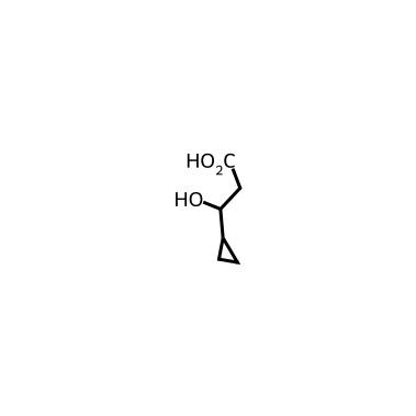 O=C(O)CC(O)C1CC1